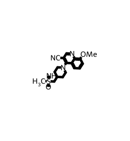 COc1cccc2c(N3CCC(CS(C)(=N)=O)CC3)c(C#N)cnc12